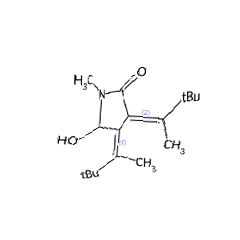 C/C(=C1/C(=O)N(C)C(O)/C1=C(/C)C(C)(C)C)C(C)(C)C